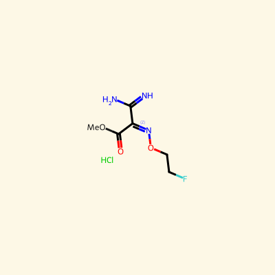 COC(=O)/C(=N\OCCF)C(=N)N.Cl